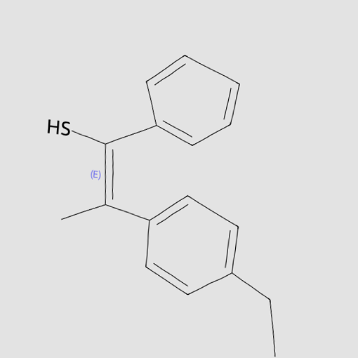 CCc1ccc(/C(C)=C(/S)c2ccccc2)cc1